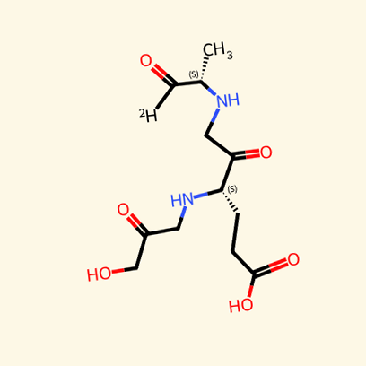 [2H]C(=O)[C@H](C)NCC(=O)[C@H](CCC(=O)O)NCC(=O)CO